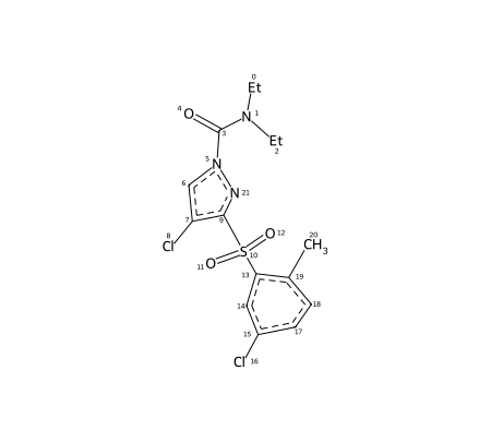 CCN(CC)C(=O)n1cc(Cl)c(S(=O)(=O)c2cc(Cl)ccc2C)n1